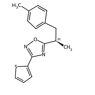 Cc1ccc(C[C@@H](C)c2nc(-c3cccs3)no2)cc1